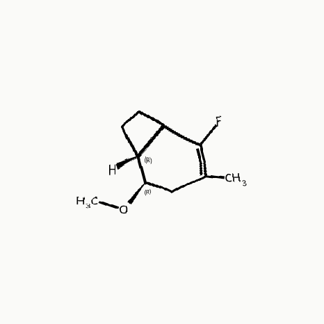 CO[C@@H]1CC(C)=C(F)C2CC[C@H]21